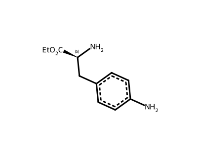 CCOC(=O)[C@@H](N)Cc1ccc(N)cc1